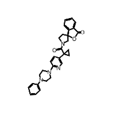 O=C1OC2(CCN(C(=O)C3(c4ccc(N5CCN(c6ccccc6)CC5)nc4)CC3)C2)c2ccccc21